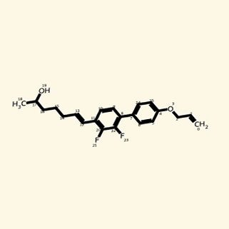 C=CCOc1ccc(-c2ccc(C=CCCCC(C)O)c(F)c2F)cc1